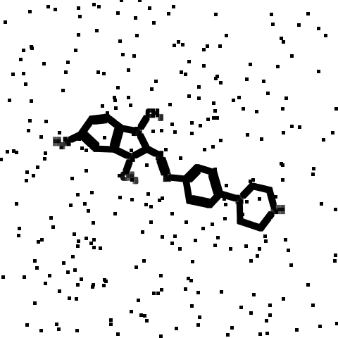 CN1c2ccc(N)cc2N(C)C1N=Nc1ccc(N2CCNCC2)cc1